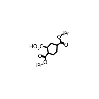 CC(C)OC(=O)C1CCC(C(=O)OC(C)C)C(C(=O)O)C1